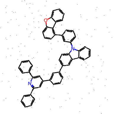 c1ccc(-c2cc(-c3cccc(-c4ccc5c(c4)c4ccccc4n5-c4cccc(-c5cccc6oc7ccccc7c56)c4)c3)cc(-c3ccccc3)n2)cc1